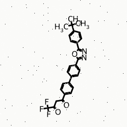 CC(C)(C)c1ccc(-c2nnc(-c3ccc(-c4ccc(C(=O)CC(=O)C(F)(F)F)cc4)cc3)o2)cc1